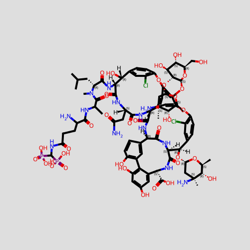 CC(C)C[C@H](C(=O)N[C@H]1C(=O)N[C@@H](CC(N)=O)C(=O)N[C@H]2C(=O)N[C@H]3C(=O)N[C@H](C(=O)N[C@H](C(=O)O)c4cc(O)cc(O)c4-c4cc3ccc4O)[C@H](O[C@H]3C[C@](C)(N)[C@@H](O)[C@H](C)O3)c3ccc(c(Cl)c3)Oc3cc2cc(c3O[C@@H]2O[C@H](CO)[C@@H](O)[C@H](O)[C@H]2O[C@H]2C[C@](C)(N)[C@@H](O)[C@H](C)O2)Oc2ccc(cc2Cl)[C@H]1O)N(C)C(=O)C(C)NC(=O)C(N)CCC(=O)NC(P(=O)(O)O)P(=O)(O)O